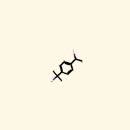 CC(I)c1ccc(C(C)(C)I)cc1